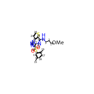 COCCCNc1nc2c(S(=O)(=O)c3cc(C)ccc3C)nnn2c2ccsc12